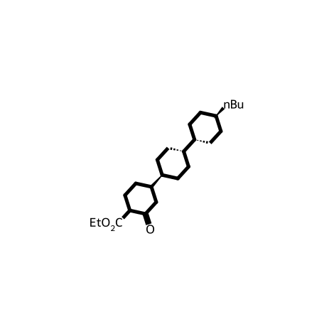 CCCC[C@H]1CC[C@H]([C@H]2CC[C@H](C3CCC(C(=O)OCC)C(=O)C3)CC2)CC1